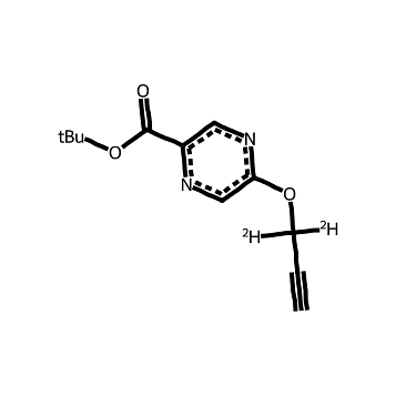 [2H]C([2H])(C#C)Oc1cnc(C(=O)OC(C)(C)C)cn1